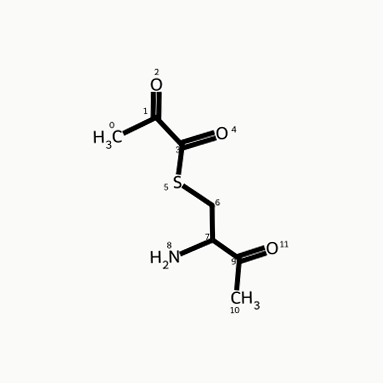 CC(=O)C(=O)SCC(N)C(C)=O